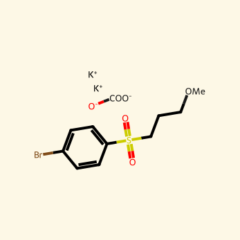 COCCCS(=O)(=O)c1ccc(Br)cc1.O=C([O-])[O-].[K+].[K+]